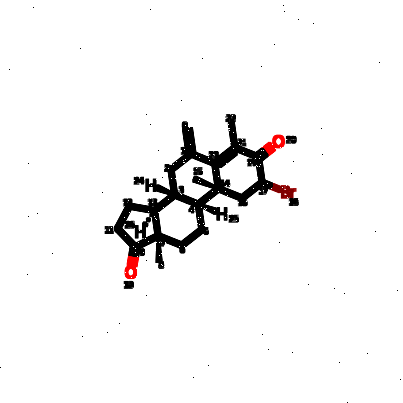 C=C1C[C@@H]2[C@@H](CC[C@]3(C)C(=O)CC[C@@H]23)[C@@]2(C)CC(Br)C(=O)C(C)=C12